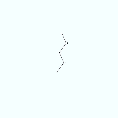 C[C]C[CH]C